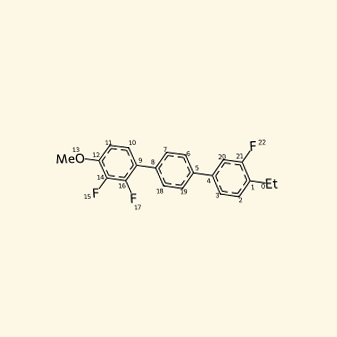 CCc1ccc(-c2ccc(-c3ccc(OC)c(F)c3F)cc2)cc1F